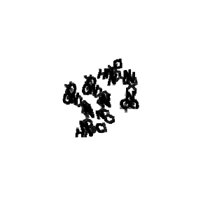 CC(C)(C)OC(=O)N1CCC2(CC1)CCn1nc(-c3cnc4[nH]cc(Cl)c4c3)cc12.CC(C)(C)OC(=O)N1CCC2(CC1)CCn1nc(-c3cnc4ccccc4c3)cc12.Cc1[nH]c2ncc(-c3cc4n(n3)CCC43CCN(C(=O)OC(C)(C)C)CC3)cc2c1Cl